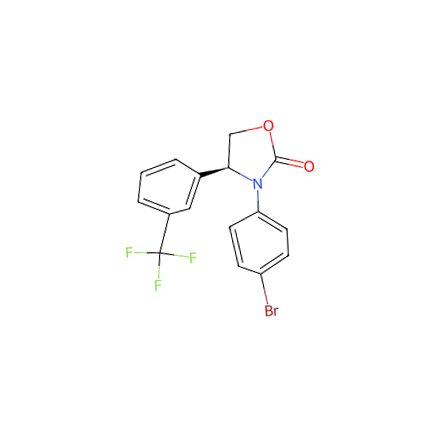 O=C1OC[C@H](c2cccc(C(F)(F)F)c2)N1c1ccc(Br)cc1